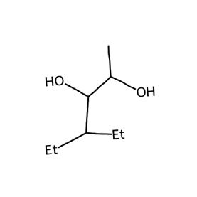 CCC(CC)C(O)C(C)O